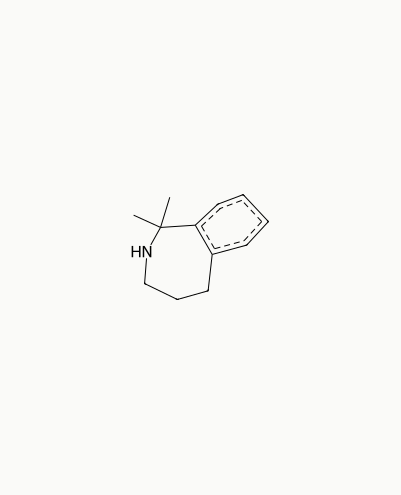 CC1(C)NCCCc2ccccc21